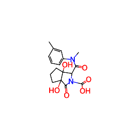 Cc1cccc(N(C)C(=O)C2N(C(=O)O)C(=O)C3(O)CCCC23O)c1